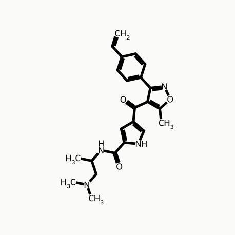 C=Cc1ccc(-c2noc(C)c2C(=O)c2c[nH]c(C(=O)NC(C)CN(C)C)c2)cc1